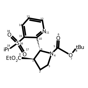 CCOC(=O)[C@@H]1CCN(C(=O)OC(C)(C)C)[C@H]1c1ncccc1S(=O)(=O)C(C)C